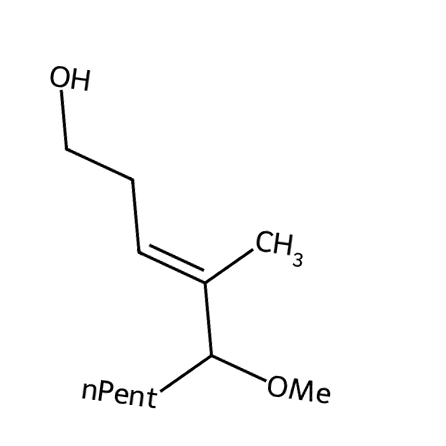 CCCCCC(OC)C(C)=CCCO